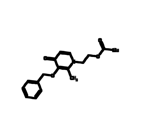 Cc1c(OCc2ccccc2)c(=O)ccn1CCOC(=O)C(C)(C)C